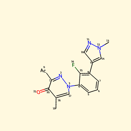 CC(=O)c1nn(-c2cccc(-c3cnn(C)c3)c2F)cc(C)c1=O